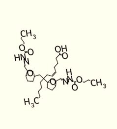 CCCCCC(C/C=C\CCCC(=O)O)(CC12CCC(O1)C(C=NNC(=O)OCCC)C2)C12CCC(O1)C(C=NNC(=O)OCCC)C2